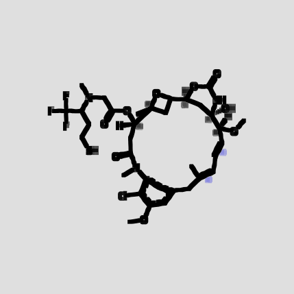 COc1cc2cc(c1Cl)N(C)C(=O)C[C@H](OC(=O)CN(C)C(CCS)C(F)(F)F)[C@@]1(C)CC(O1)[C@@H]1C[C@@](O)(NC(=O)O1)[C@H](OC)/C=C/C=C(\C)C2